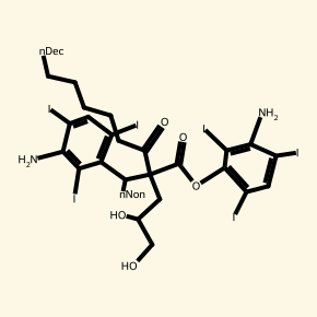 CCCCCCCCCCCCCCCC(=O)C(CC(O)CO)(C(=O)Oc1c(I)cc(I)c(N)c1I)C(CCCCCCCCC)c1c(I)cc(I)c(N)c1I